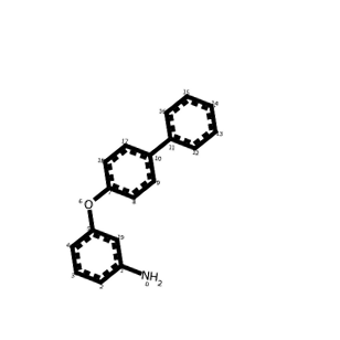 Nc1cccc(Oc2ccc(-c3cc[c]cc3)cc2)c1